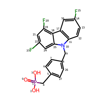 O=P(O)(O)Cc1ccc(Cn2c3ccc(F)cc3c3c(F)cc(F)cc32)cc1